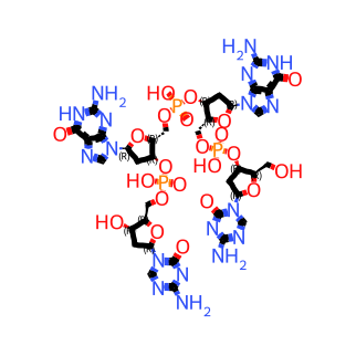 Nc1ncn([C@H]2C[C@@H](O)[C@@H](COP(=O)(O)O[C@@H]3C[C@H](n4cnc5c(=O)[nH]c(N)nc54)O[C@@H]3COP(=O)(O)O[C@@H]3C[C@H](n4cnc5c(=O)[nH]c(N)nc54)O[C@@H]3COP(=O)(O)O[C@@H]3C[C@H](n4cnc(N)nc4=O)O[C@@H]3CO)O2)c(=O)n1